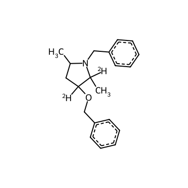 [2H]C1(OCc2ccccc2)CC(C)N(Cc2ccccc2)C1([2H])C